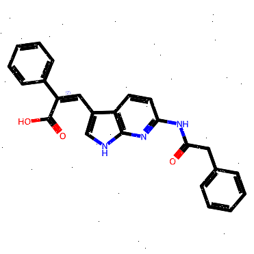 O=C(Cc1ccccc1)Nc1ccc2c(/C=C(\C(=O)O)c3ccccc3)c[nH]c2n1